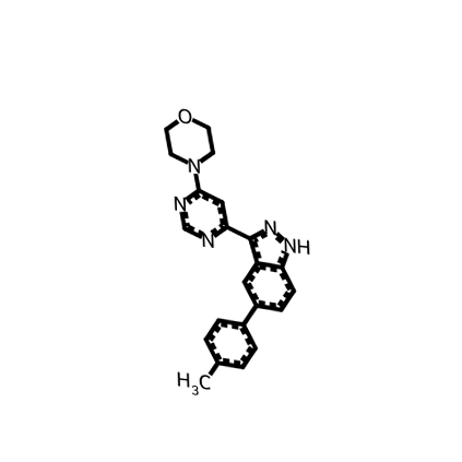 Cc1ccc(-c2ccc3[nH]nc(-c4cc(N5CCOCC5)ncn4)c3c2)cc1